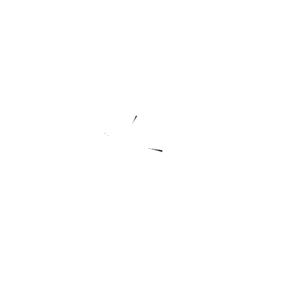 CCc1cc(CC)cc([C@H]2OC(=O)N[C@H]2C)c1